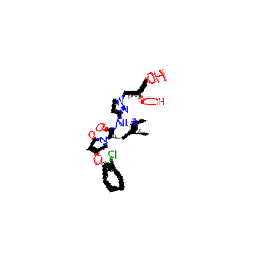 CC[C@@H](C)C[C@@H](C(=O)Nc1ccn(C[C@@H](O)CO)n1)N1CC(Oc2ccccc2Cl)=CC1=O